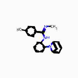 C/N=C(\Nc1ccccc1N1C2=CC=CC1=C2)c1ccc(C#N)cc1